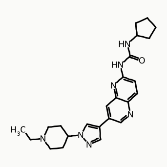 CCN1CCC(n2cc(-c3cnc4ccc(NC(=O)NC5CCCC5)nc4c3)cn2)CC1